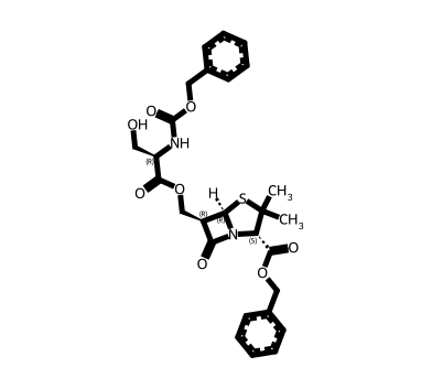 CC1(C)S[C@@H]2[C@H](COC(=O)[C@@H](CO)NC(=O)OCc3ccccc3)C(=O)N2[C@H]1C(=O)OCc1ccccc1